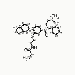 CC1CCN(C(=O)c2ccc(-c3ccc4[nH]ccc4c3)c(OCCNC(=O)CN)c2)c2ccccc2N1